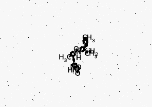 C[SiH2]c1cc(NC(=O)c2ccc(C)c(C#Cc3cnc4c(c3)OCC(=O)N4)c2)ccc1CN1CCN(C)CC1